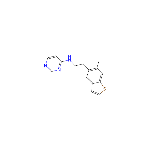 Cc1cc2sccc2cc1CCNc1ccncn1